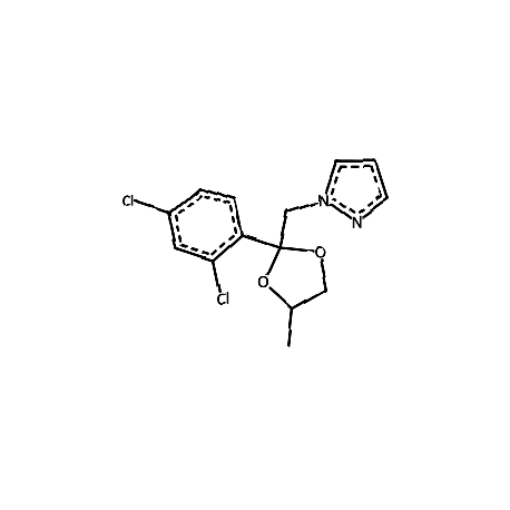 CC1COC(Cn2cccn2)(c2ccc(Cl)cc2Cl)O1